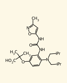 Cc1cc(NC(=O)Nc2cc(OC(C)(C)C(=O)O)ccc2N(CC(C)C)CC(C)C)on1